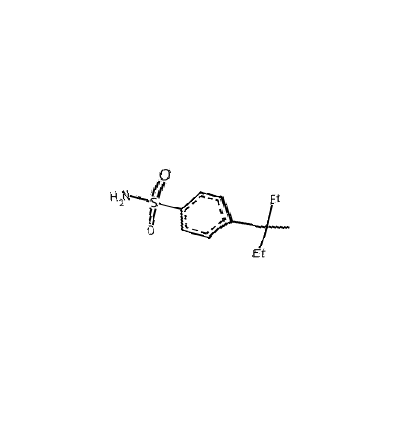 CCC(C)(CC)c1ccc(S(N)(=O)=O)cc1